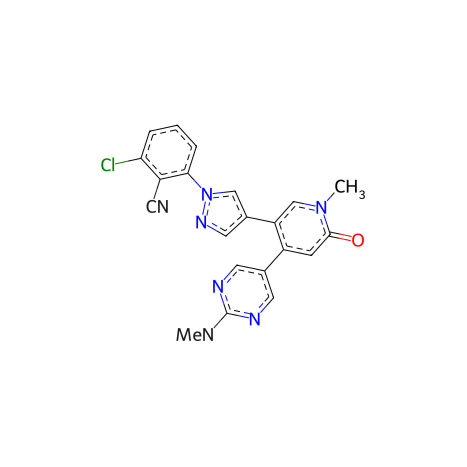 CNc1ncc(-c2cc(=O)n(C)cc2-c2cnn(-c3cccc(Cl)c3C#N)c2)cn1